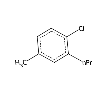 CCCc1cc(C)ccc1Cl